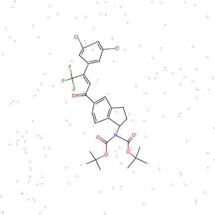 CC(C)(C)OC(=O)N(C(=O)OC(C)(C)C)C1CCc2cc(C(=O)/C=C(/c3cc(Cl)cc(Cl)c3)C(F)(F)F)ccc21